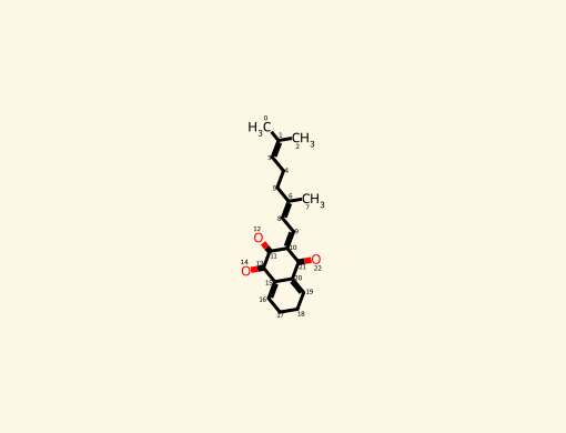 CC(C)=CCC/C(C)=C/C=C1\C(=O)C(=O)C2=CCCC=C2C1=O